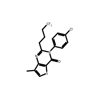 Cc1csc2c(=O)n(-c3ccc(Cl)cc3)c(CCCC(F)(F)F)nc12